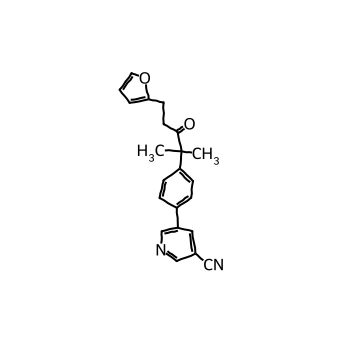 CC(C)(C(=O)CCc1ccco1)c1ccc(-c2cncc(C#N)c2)cc1